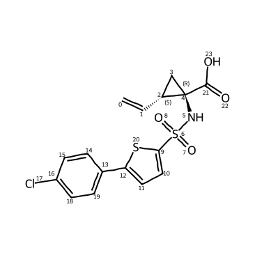 C=C[C@@H]1C[C@]1(NS(=O)(=O)c1ccc(-c2ccc(Cl)cc2)s1)C(=O)O